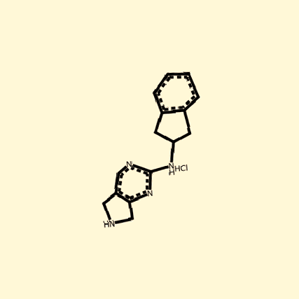 Cl.c1ccc2c(c1)CC(Nc1ncc3c(n1)CNC3)C2